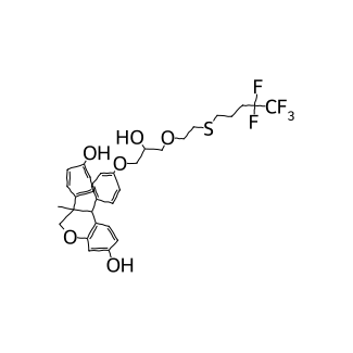 CC1(c2ccc(O)cc2)COc2cc(O)ccc2C1c1ccc(OCC(O)COCCSCCCC(F)(F)C(F)(F)F)cc1